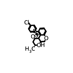 C[C@@H]1CC[C@@]2(S(=O)(=O)c3ccc(Cl)cc3)c3c(F)cccc3OC[C@H]2O1